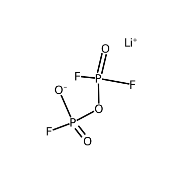 O=P([O-])(F)OP(=O)(F)F.[Li+]